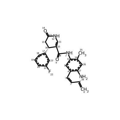 C=C/C=C\c1cc(NC(=O)C2=CNC(=O)C[C@H]2c2cccc(F)c2)c(C)cc1N